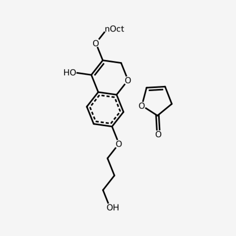 CCCCCCCCOC1=C(O)c2ccc(OCCCO)cc2OC1.O=C1CC=CO1